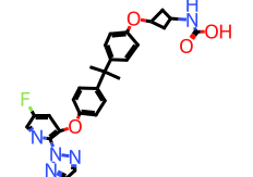 CC(C)(c1ccc(Oc2cc(F)cnc2-n2nccn2)cc1)c1ccc(OC2CC(NC(=O)O)C2)cc1